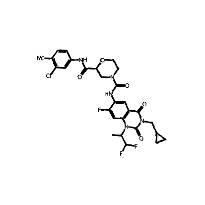 CC(C(F)F)n1c(=O)n(CC2CC2)c(=O)c2cc(NC(=O)N3CCOC(C(=O)Nc4ccc(C#N)c(Cl)c4)C3)c(F)cc21